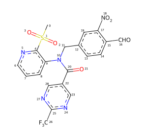 CS(=O)(=O)c1ncccc1N(Cc1ccc(C=O)c([N+](=O)[O-])c1)C(=O)c1cnc(C(F)(F)F)nc1